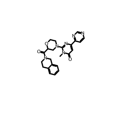 Cn1c(N2CCOC(C(=O)N3CCc4ccccc4C3)C2)nc(-c2ccncn2)cc1=O